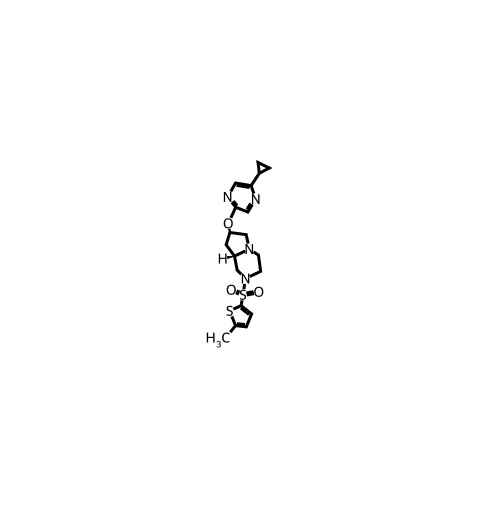 Cc1ccc(S(=O)(=O)N2CCN3C[C@H](Oc4cnc(C5CC5)cn4)C[C@H]3C2)s1